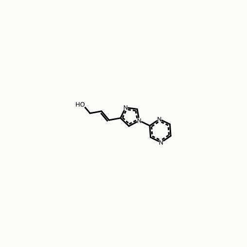 OC/C=C/c1cn(-c2cnccn2)cn1